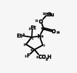 CCC1(CC)CC(F)(C(=O)O)CN1C(=O)OC(C)(C)C